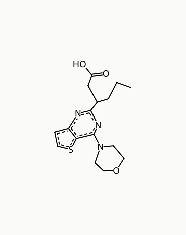 CCCC(CC(=O)O)c1nc(N2CCOCC2)c2sccc2n1